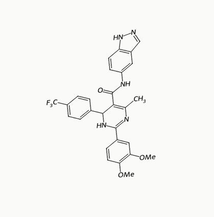 COc1ccc(C2=NC(C)=C(C(=O)Nc3ccc4[nH]ncc4c3)C(c3ccc(C(F)(F)F)cc3)N2)cc1OC